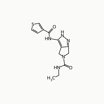 CCNC(=O)N1Cc2n[nH]c(NC(=O)c3ccsc3)c2C1